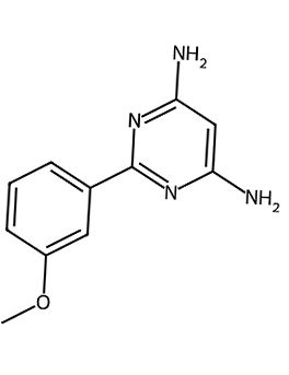 COc1cccc(-c2nc(N)cc(N)n2)c1